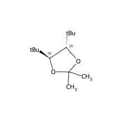 CC1(C)O[C@@H](C(C)(C)C)[C@H](C(C)(C)C)O1